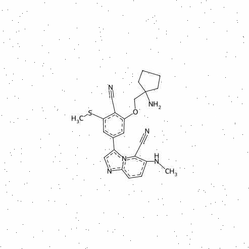 CNc1ccc2ncc(-c3cc(OCC4(N)CCCC4)c(C#N)c(SC)c3)n2c1C#N